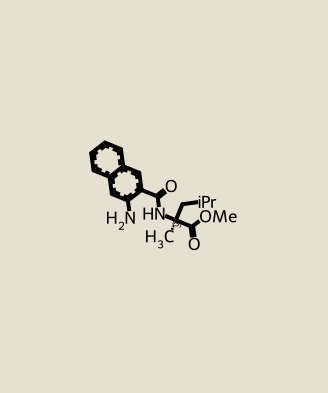 COC(=O)[C@](C)(CC(C)C)NC(=O)c1cc2ccccc2cc1N